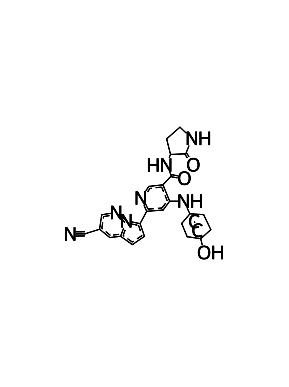 N#Cc1cnn2c(-c3cc(NC45CCC(O)(CC4)CC5)c(C(=O)NC4CCNC4=O)cn3)ccc2c1